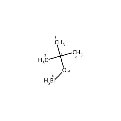 CC(C)(C)[O][BiH2]